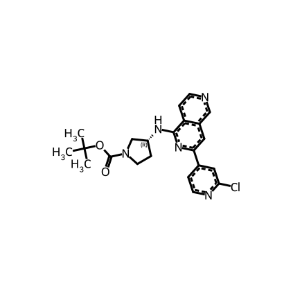 CC(C)(C)OC(=O)N1CC[C@@H](Nc2nc(-c3ccnc(Cl)c3)cc3cnccc23)C1